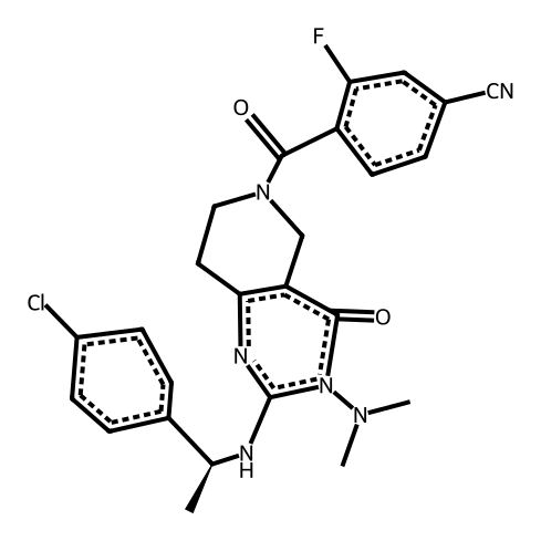 C[C@H](Nc1nc2c(c(=O)n1N(C)C)CN(C(=O)c1ccc(C#N)cc1F)CC2)c1ccc(Cl)cc1